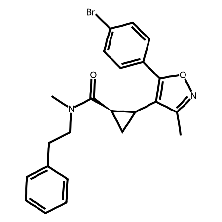 Cc1noc(-c2ccc(Br)cc2)c1C1C[C@H]1C(=O)N(C)CCc1ccccc1